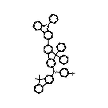 CC1(C)c2ccccc2-c2ccc(N(c3ccc(F)cc3)c3ccc4c(c3)C(c3ccccc3)(c3ccccc3)c3cc(-c5ccc6c(c5)c5ccccc5n6-c5ccccc5)ccc3-4)cc21